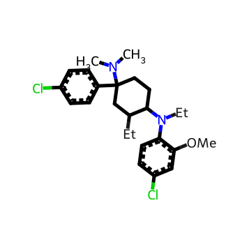 CCC1CC(c2ccc(Cl)cc2)(N(C)C)CCC1N(CC)c1ccc(Cl)cc1OC